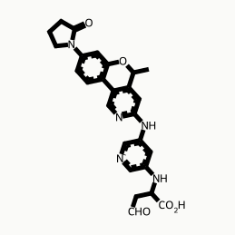 CC1Oc2cc(N3CCCC3=O)ccc2-c2cnc(Nc3cncc(NC(CC=O)C(=O)O)c3)cc21